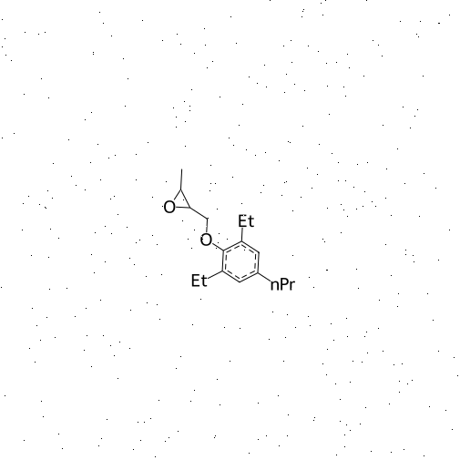 CCCc1cc(CC)c(OCC2OC2C)c(CC)c1